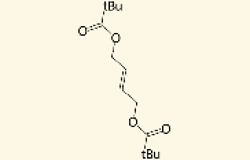 CC(C)(C)C(=O)OCC=CCOC(=O)C(C)(C)C